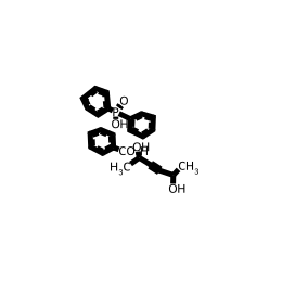 CC(O)C#CC(C)O.O=C(O)c1ccccc1.O=P(O)(c1ccccc1)c1ccccc1